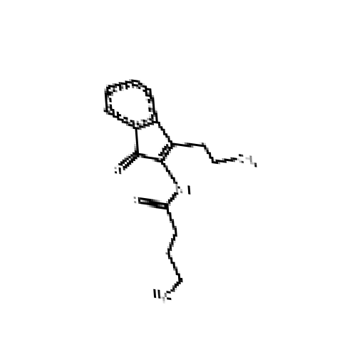 CCCCC(=O)NC1=C(CCC)c2ccccc2C1=O